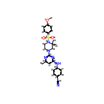 COc1ccc(S(=O)(=O)N2CCN(c3nc(C)cc(Nc4ccc(C#N)cc4)n3)CC2(C)C)cc1